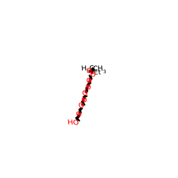 CCC(C)(C)C(=O)OCCOCCOCCOCCOCCOCCCOCCCO